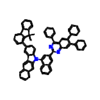 CC1(C)c2ccccc2-c2cccc(-c3ccc4c(c3)c3cc5ccccc5cc3n4-c3cc(-c4nc(-c5ccccc5)c5cc(-c6ccccc6)c(-c6ccccc6)cc5n4)cc4ccccc34)c21